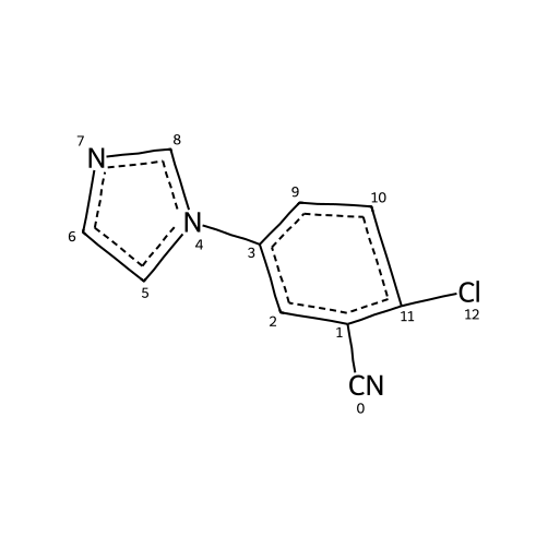 N#Cc1cc(-n2ccnc2)ccc1Cl